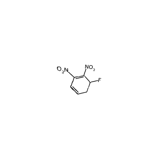 O=[N+]([O-])C1=C([N+](=O)[O-])C(F)CC=C1